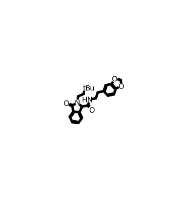 CC(C)(C)CCN1C(=O)c2ccccc2C1C(=O)NCCc1ccc2c(c1)OCO2